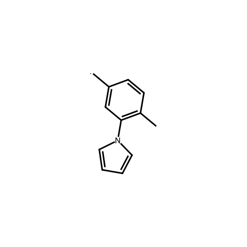 [CH2]c1ccc(C)c(-n2cccc2)c1